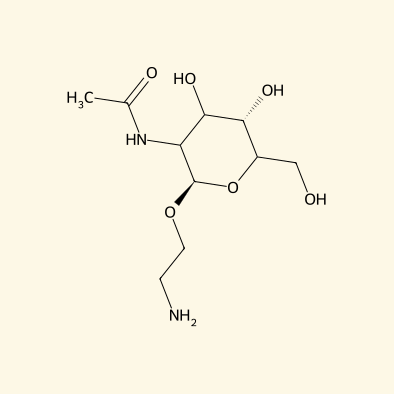 CC(=O)NC1C(O)[C@H](O)C(CO)O[C@H]1OCCN